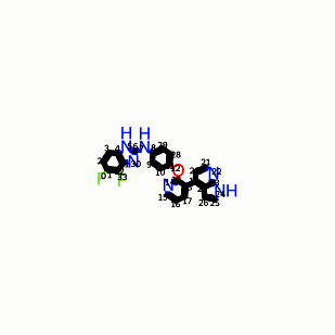 Fc1ccc2[nH]c(Nc3ccc(Oc4ncccc4-c4ccnc5[nH]ccc45)cc3)nc2c1F